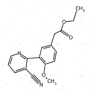 CCOC(=O)Cc1ccc(OC)c(-c2ncccc2C#N)c1